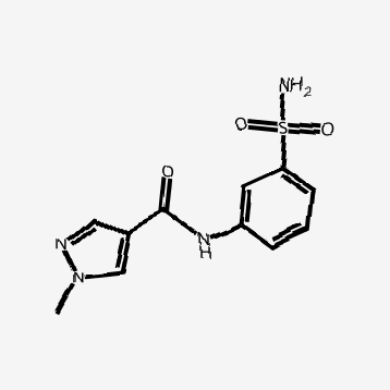 Cn1cc(C(=O)Nc2cccc(S(N)(=O)=O)c2)cn1